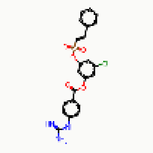 N=C(N)Nc1ccc(C(=O)Oc2cc(Cl)cc(OS(=O)(=O)C=Cc3ccccc3)c2)cc1